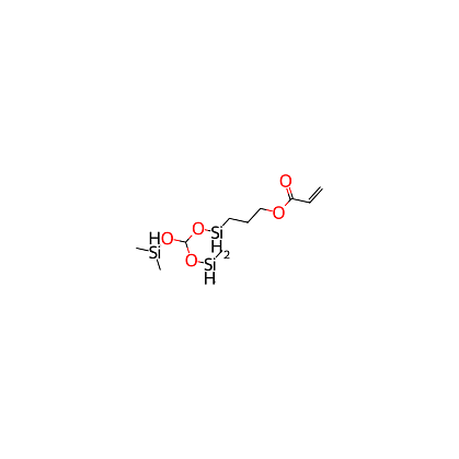 C=CC(=O)OCCC[SiH2]OC(O[SiH](C)C)O[SiH](C)C